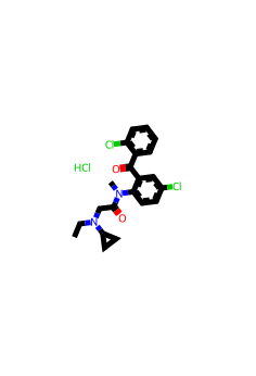 CCN(CC(=O)N(C)c1ccc(Cl)cc1C(=O)c1ccccc1Cl)C1CC1.Cl